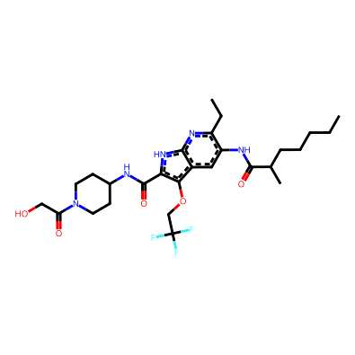 CCCCCC(C)C(=O)Nc1cc2c(OCC(F)(F)F)c(C(=O)NC3CCN(C(=O)CO)CC3)[nH]c2nc1CC